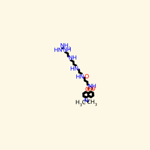 CN(C)c1cccc2c(S(=O)(=O)NCCCC(=O)NCCCNCCCCNCCCNC(=N)N)cccc12